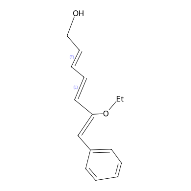 CCOC(=Cc1ccccc1)/C=C/C=C/CO